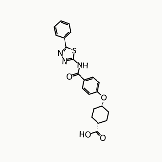 O=C(Nc1nnc(-c2ccccc2)s1)c1ccc(O[C@H]2CC[C@@H](C(=O)O)CC2)cc1